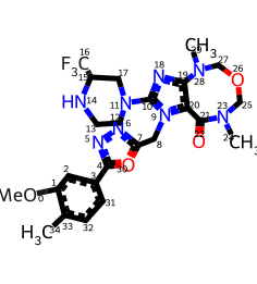 COc1cc(-c2nnc(Cn3c(N4CCNC(C(F)(F)F)C4)nc4c3C(=O)N(C)COCN4C)o2)ccc1C